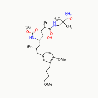 COCCCCc1cc(C[C@@H](C[C@H](NC(=O)OC(C)(C)C)[C@@H](O)C[C@H](C(=O)NCC(C)(C)C(N)=O)C(C)C)C(C)C)ccc1OC